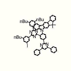 CCCCc1cc(I)cc(-c2nc(-c3cc(CCCC)cc(CCCC)c3)nc(-c3cc(-c4nc(-c5ccccc5)cc(-c5ccccc5)n4)ccc3-n3c4ccccc4c4cc5c(cc43)C(C)(C)c3ccccc3-5)n2)c1